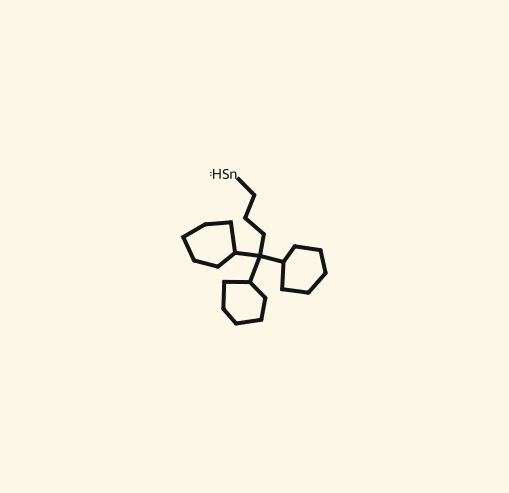 [SnH][CH2]CCC(C1CCCCC1)(C1CCCCC1)C1CCCCC1